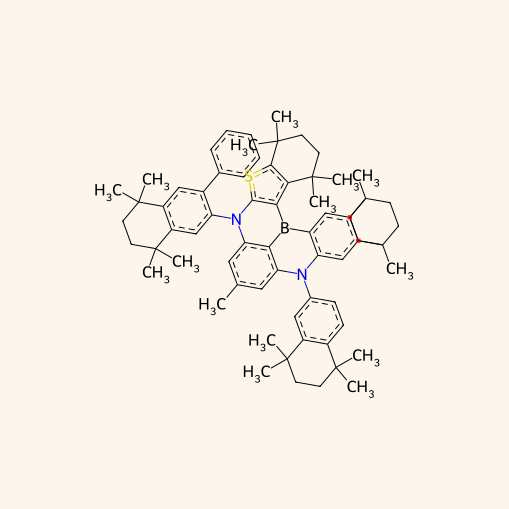 Cc1cc2c3c(c1)N(c1cc4c(cc1-c1ccccc1)C(C)(C)CCC4(C)C)c1sc4c(c1B3c1cc3c(cc1N2c1ccc2c(c1)C(C)(C)CCC2(C)C)C1(C)CCC3(C)CC1)C(C)(C)CCC4(C)C